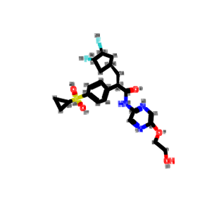 O=C(Nc1cnc(OCCO)cn1)[C@H](C[C@H]1C[C@@H](F)[C@@H](F)C1)c1ccc(S(=O)(=O)C2CC2)cc1